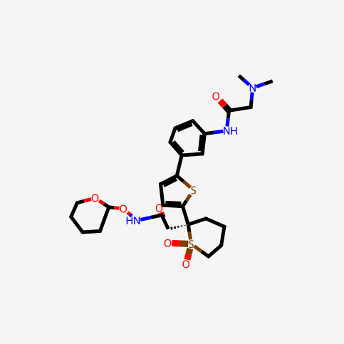 CN(C)CC(=O)Nc1cccc(-c2ccc([C@@]3(CC(=O)NOC4CCCCO4)CCCCS3(=O)=O)s2)c1